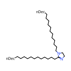 CCCCCCCCCCCCCCCCCCCCCCC1=NCCN1CCCCCCCCCCCCCCCCCCCCCC